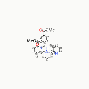 COC(=O)c1ccc(CN2CC=CC(C)=C2C2CCCC(c3ncccc3C)N2)c(C(=O)OC)c1